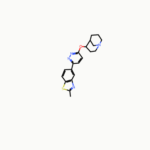 Cc1nc2cc(-c3ccc(OC4CCN5CCCC4C5)nn3)ccc2s1